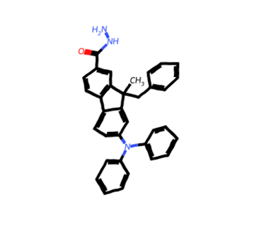 CC1(Cc2ccccc2)c2cc(C(=O)NN)ccc2-c2ccc(N(c3ccccc3)c3ccccc3)cc21